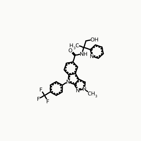 Cn1cc2c3cc(C(=O)NC(C)(CO)c4ccccn4)ccc3n(-c3ccc(C(F)(F)F)cc3)c2n1